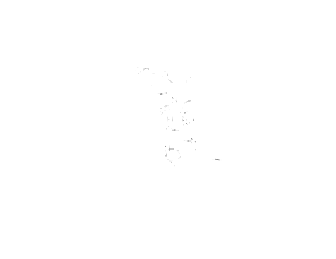 C=CCON=C(C(=O)N[C@@H]1C(=O)N2C(C(=O)O)=C(COC(C)=O)CS[C@H]12)c1cscn1